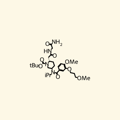 COCCCOc1cc(C(=O)N(C(C)C)[C@@H]2CC[C@@H](CC(=O)NCC(N)=O)N(C(=O)OC(C)(C)C)C2)ccc1OC